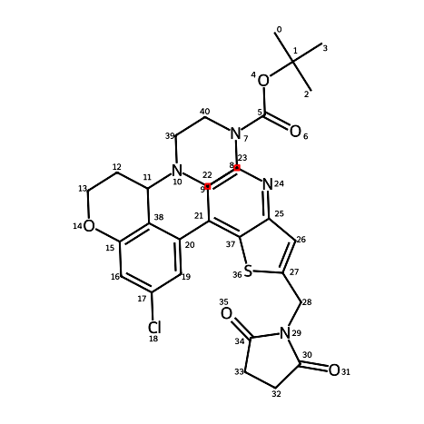 CC(C)(C)OC(=O)N1CCN(C2CCOc3cc(Cl)cc(-c4ccnc5cc(CN6C(=O)CCC6=O)sc45)c32)CC1